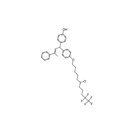 CC(=CC(c1ccc(O)cc1)c1ccc(OCCCCC[S+]([O-])CCCC(F)(F)C(F)(F)F)cc1)c1ccccc1